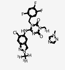 Cn1cncn1.[2H]Cn1c(=O)nc(Nc2cc3cn(C([2H])([2H])[2H])nc3cc2Cl)n(Cc2cc(F)c(F)cc2F)c1=O